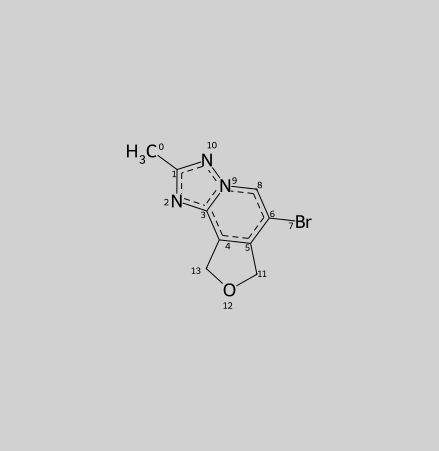 Cc1nc2c3c(c(Br)cn2n1)COC3